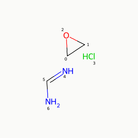 C1CO1.Cl.N=CN